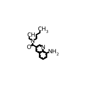 CCCCN(CC)C(=O)c1cnc2c(N)cccc2c1